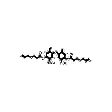 C=CCSCCC(=O)Oc1cc(C)c(Sc2cc(CCCC)c(OC(=O)CCSCC=C)cc2C)cc1CCCC